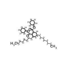 CCCCCCCCc1cc(CCCCCCCC)c(C(=O)Oc2ccccc2)c(C(=O)Oc2ccccc2)c1